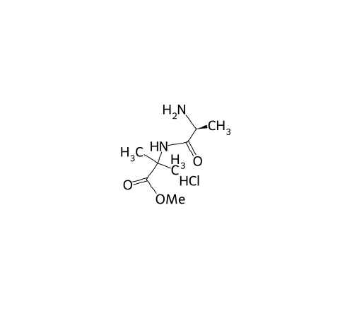 COC(=O)C(C)(C)NC(=O)[C@H](C)N.Cl